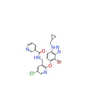 O=C(NCc1cc(Cl)cnc1Oc1ccc2c(nnn2CC2CC2)c1Br)c1cccnc1